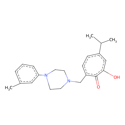 Cc1cccc(N2CCN(Cc3ccc(C(C)C)cc(O)c3=O)CC2)c1